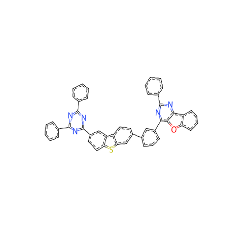 c1ccc(-c2nc(-c3ccccc3)nc(-c3ccc4sc5cc(-c6cccc(-c7nc(-c8ccccc8)nc8c7oc7ccccc78)c6)ccc5c4c3)n2)cc1